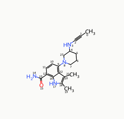 CC#CNC1CCCN(c2ccc(C(N)=O)c3[nH]c(C)c(C)c23)C1